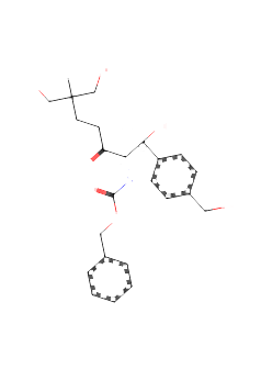 CC(CO)(CO)CCC(=O)[C@@H](NC(=O)OCc1ccccc1)[C@@](C)(O)c1ccc(CO)cc1